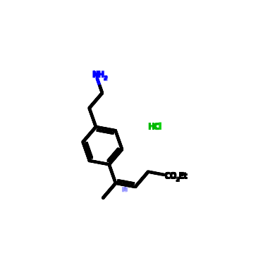 CCOC(=O)C/C=C(/C)c1ccc(CCN)cc1.Cl